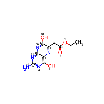 CCOC(=O)Cc1nc2c(O)nc(N)nc2nc1O